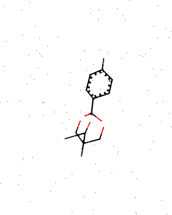 CC(C)C12COC(c3ccc(C#N)cc3)(OC1)OC2C#N